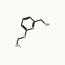 CCOc1cccc(CO)n1